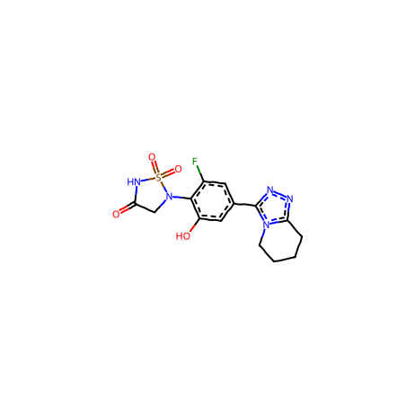 O=C1CN(c2c(O)cc(-c3nnc4n3CCCC4)cc2F)S(=O)(=O)N1